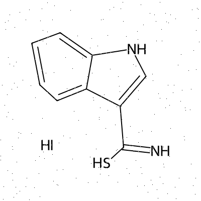 I.N=C(S)c1c[nH]c2ccccc12